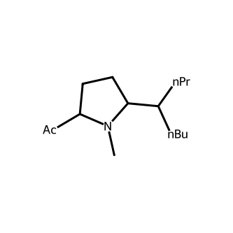 CCCCC(CCC)C1CCC(C(C)=O)N1C